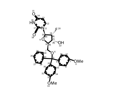 COc1ccc(C(OC[C@H]2O[C@@H](n3ccc(=O)[nH]c3=O)[C@H](F)[C@@H]2O)(c2ccccc2)c2ccc(OC)cc2)cc1